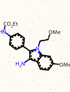 CCOC(=O)Nc1ccc(-c2c(N)c3ccc(OC)cc3n2CCOC)cc1